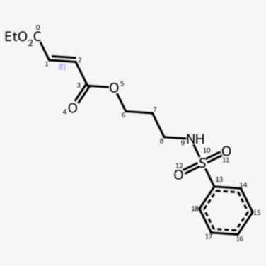 CCOC(=O)/C=C/C(=O)OCCCNS(=O)(=O)c1ccccc1